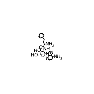 Nc1ccnc2c1ncn2[C@@H]1O[C@H](CO)C(O)[C@@H]1NC(=O)C(N)CCc1ccccc1